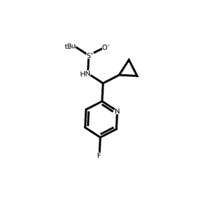 CC(C)(C)[S+]([O-])NC(c1ccc(F)cn1)C1CC1